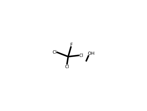 CO.FC(Cl)(Cl)Cl